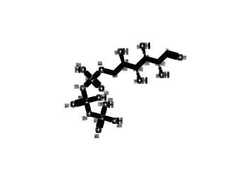 O=C[C@H](O)[C@@H](O)[C@H](O)[C@H](O)COP(=O)(O)OP(=O)(O)OP(=O)(O)O